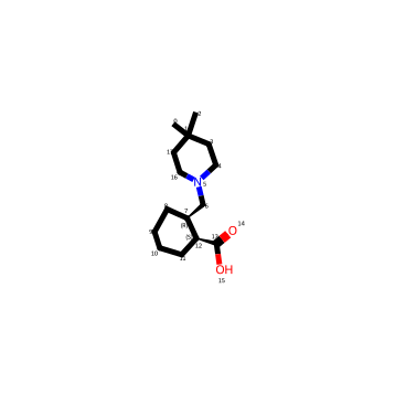 CC1(C)CCN(C[C@@H]2CCCC[C@@H]2C(=O)O)CC1